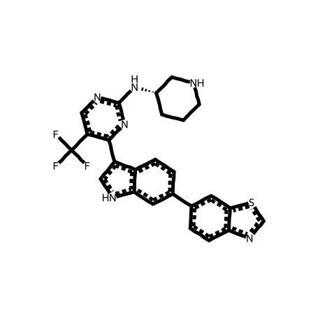 FC(F)(F)c1cnc(N[C@H]2CCCNC2)nc1-c1c[nH]c2cc(-c3ccc4ncsc4c3)ccc12